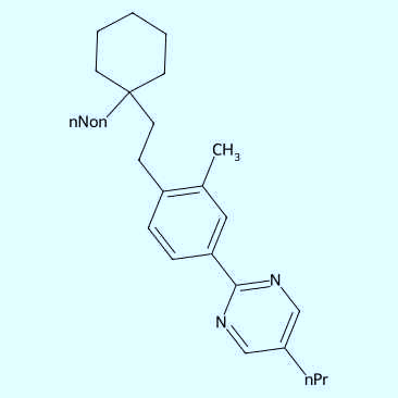 CCCCCCCCCC1(CCc2ccc(-c3ncc(CCC)cn3)cc2C)CCCCC1